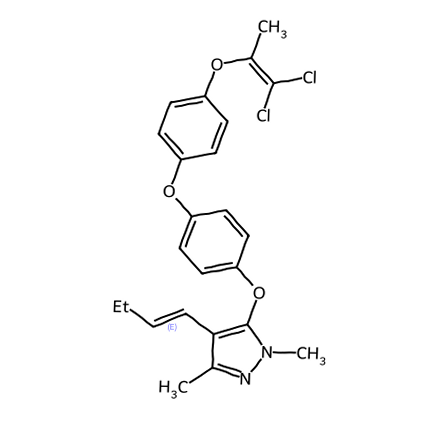 CC/C=C/c1c(C)nn(C)c1Oc1ccc(Oc2ccc(OC(C)=C(Cl)Cl)cc2)cc1